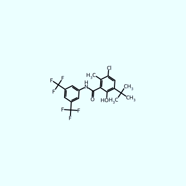 Cc1c(Cl)cc(C(C)(C)C)c(O)c1C(=O)Nc1cc(C(F)(F)F)cc(C(F)(F)F)c1